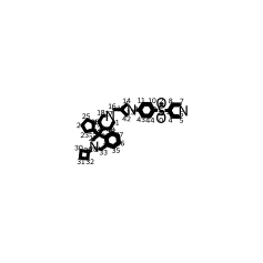 O=S(=O)(c1ccncc1)c1ccc(N2CC(CN3CCC(C4(C5CCCC5)CN(C5CCC5)Cc5ccccc54)CC3)C2)cc1